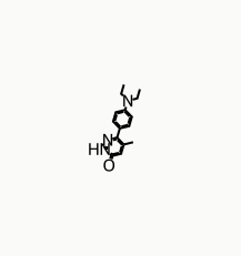 CCN(CC)c1ccc(-c2n[nH]c(=O)cc2C)cc1